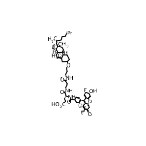 Cc1cc(C(=O)N[C@@H](CCC(=O)O)C(=O)NCCC(=O)NCCCOC2CC[C@@]3(C)C(=CC[C@H]4[C@@H]5CC[C@H]([C@H](C)CCCC(C)C)[C@@]5(C)CC[C@@H]43)C2)ccc1-c1c2cc(F)c(=O)cc-2oc2cc(O)c(F)cc12